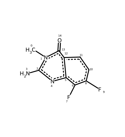 Cn1c(N)nc2c(F)c(F)ccc2c1=O